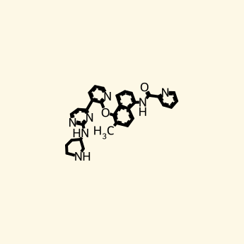 Cc1ccc2c(NC(=O)c3ccccn3)cccc2c1Oc1ncccc1-c1ccnc(NC2CCCNC2)n1